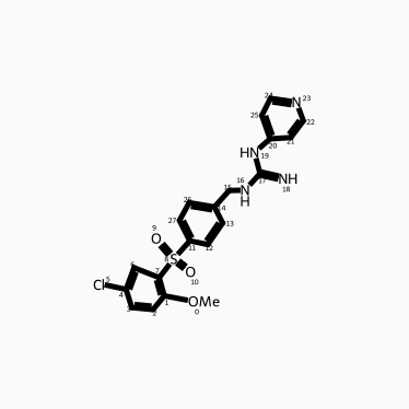 COc1ccc(Cl)cc1S(=O)(=O)c1ccc(CNC(=N)Nc2ccncc2)cc1